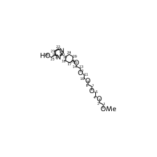 COCCOCCOCCOCCOCCO[C@H]1CC[C@H](c2nccc(CO)n2)CC1